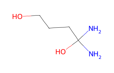 NC(N)(O)CCCO